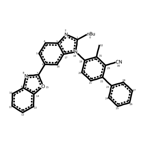 CCCCc1nc2ccc(-c3nc4ccccc4o3)cc2n1-c1ccc(-c2ccccc2)c(C#N)c1C